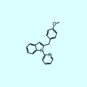 COc1ccc(Cc2cc3ccccc3n2-c2ccccn2)cc1